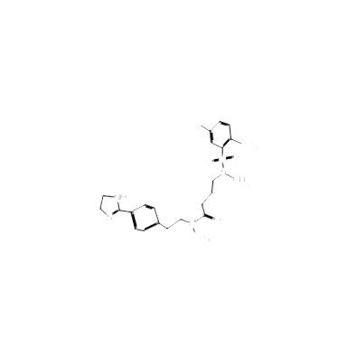 Cc1ccc(C)c(S(=O)(=O)N(C)CCCC(=O)N(C)CCc2ccc(C3=NCCN3)cc2)c1